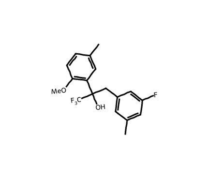 COc1ccc(C)cc1C(O)(Cc1cc(C)cc(F)c1)C(F)(F)F